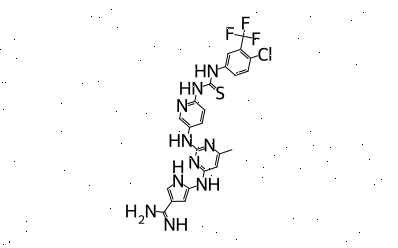 Cc1cc(Nc2cc(C(=N)N)c[nH]2)nc(Nc2ccc(NC(=S)Nc3ccc(Cl)c(C(F)(F)F)c3)nc2)n1